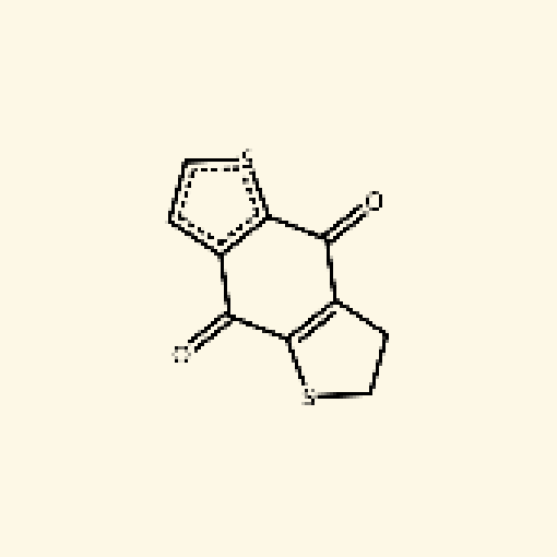 O=C1C2=C(CCS2)C(=O)c2sccc21